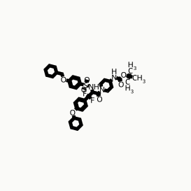 CC(C)(C)OC(=O)NC1CCN(C(=O)C(NS(=O)(=O)c2ccc(OCC3CCCCC3)cc2)C(F)(F)c2ccc(OC3CCCCC3)cc2)CC1